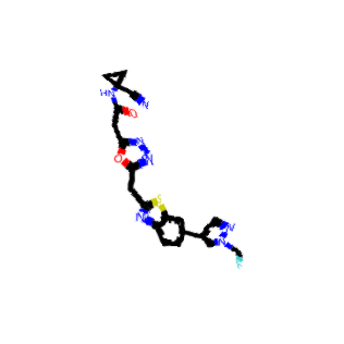 N#CC1(NC(=O)Cc2nnc(Cc3nc4ccc(-c5cnn(CF)c5)cc4s3)o2)CC1